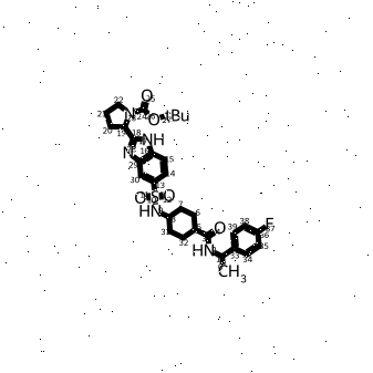 CC(NC(=O)C1CCC(NS(=O)(=O)c2ccc3[nH]c(C4CCCN4C(=O)OC(C)(C)C)nc3c2)CC1)c1ccc(F)cc1